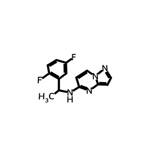 CC(Nc1ccn2nccc2n1)c1cc(F)ccc1F